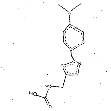 CN(C)c1ccc(-c2ncc(CNC(=O)O)s2)cc1